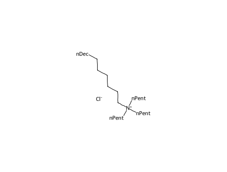 CCCCCCCCCCCCCCCC[N+](CCCCC)(CCCCC)CCCCC.[Cl-]